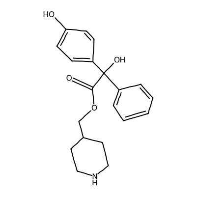 O=C(OCC1CCNCC1)C(O)(c1ccccc1)c1ccc(O)cc1